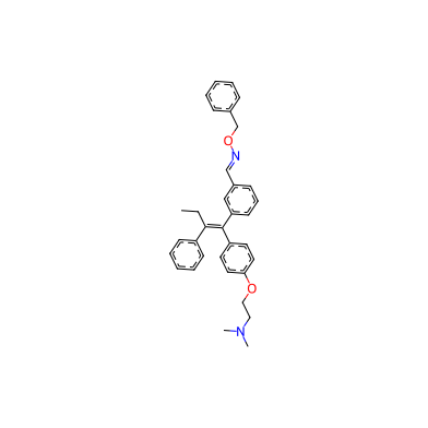 CCC(=C(c1ccc(OCCN(C)C)cc1)c1cccc(C=NOCc2ccccc2)c1)c1ccccc1